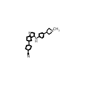 CN1CCC(c2ccc(Nc3ccnc4ccc(-c5ccc(C#N)cc5)cc34)cc2)CC1